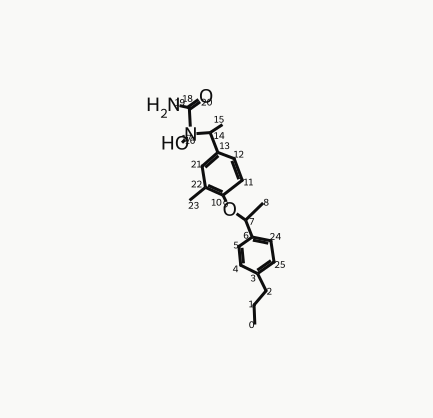 CCCc1ccc(C(C)Oc2ccc(C(C)N(O)C(N)=O)cc2C)cc1